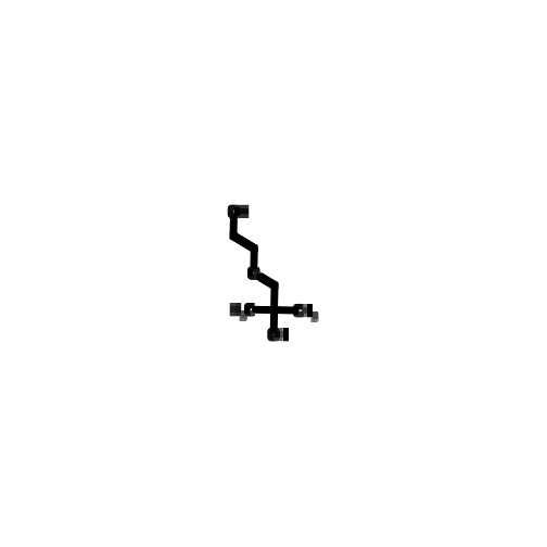 CC(C)(O)COCCO